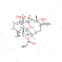 CCCC(=O)O[C@]1(C)CC[C@H](OC(C)=O)[C@@](C)(O)C[C@H]2O[C@@H]1[C@H]1[C@@H]2[C@](C)(O)CC[C@@H]1C(C)C